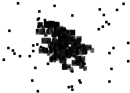 CC(C)C[C@H](NC(=O)[C@H](CCCCN)NC(=O)[C@H](CC(C)C)NC(=O)[C@H](CC(=O)O)NC(=O)[C@H](CC(C)C)NC(=O)[C@H](CCC(=O)O)NC(=O)[C@H](CC(=O)O)NC(=O)[C@@H](NC(=O)[C@H](C)NC(=O)[C@H](CCC(=O)O)NC(=O)[C@@H](N)CCC(N)=O)[C@@H](C)O)C(=O)N[C@@H](CCCNC(=N)N)C(=O)N[C@@H](CCC(N)=O)C(=O)N[C@@H](C)C(=O)N[C@@H](CCC(=O)O)C(=O)O